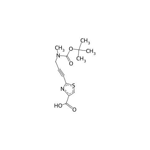 CN(CC#Cc1nc(C(=O)O)cs1)C(=O)OC(C)(C)C